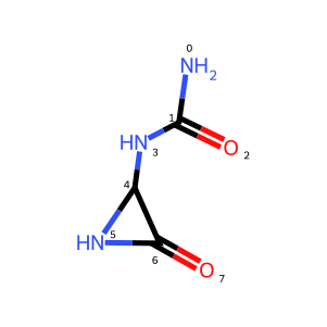 NC(=O)NC1NC1=O